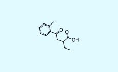 CCC(CC(=O)c1ccccc1C)C(=O)O